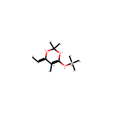 CC=C1OC(C)(C)OC(O[Si](C)(C)C)=C1C